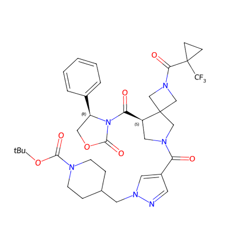 CC(C)(C)OC(=O)N1CCC(Cn2cc(C(=O)N3C[C@@H](C(=O)N4C(=O)OC[C@H]4c4ccccc4)C4(C3)CN(C(=O)C3(C(F)(F)F)CC3)C4)cn2)CC1